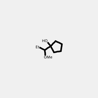 CCC(OC)C1(O)CCCC1